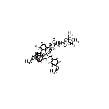 COc1ccc(CN(Cc2ccc(OC)cc2)S(=O)(=O)c2c(S(=O)(=O)C[C@@H](O)CNC(=O)OC(C)(C)C)ccc(I)c2-c2nn[nH]n2)cc1